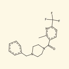 Cc1nc(C(F)(F)F)ccc1C(=O)N1CCN(Cc2ccccc2)CC1